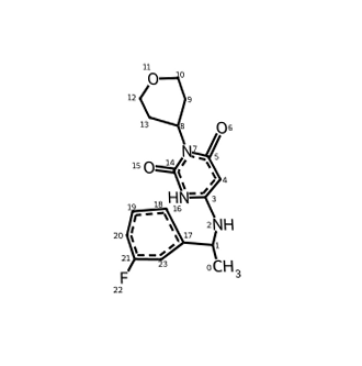 CC(Nc1cc(=O)n(C2CCOCC2)c(=O)[nH]1)c1cccc(F)c1